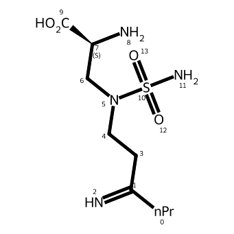 CCCC(=N)CCN(C[C@H](N)C(=O)O)S(N)(=O)=O